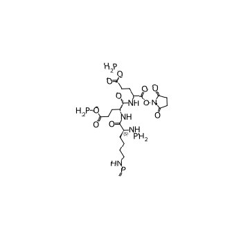 C=PNCCCC[C@H](NP)C(=O)NC(CCC(=O)OP)C(=O)NC(CCC(=O)OP)C(=O)ON1C(=O)CCC1=O